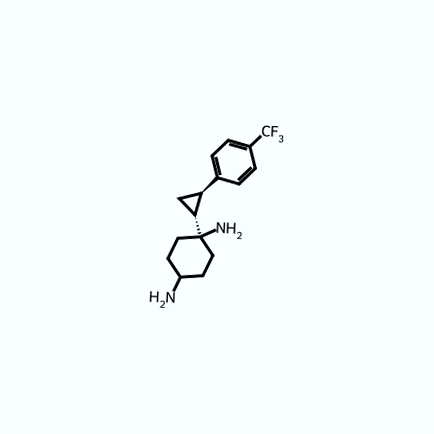 NC1CCC(N)([C@@H]2C[C@H]2c2ccc(C(F)(F)F)cc2)CC1